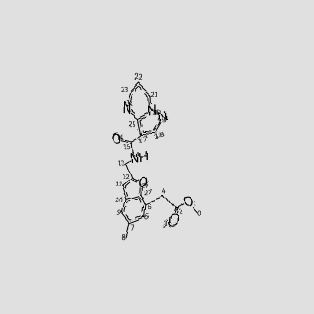 COC(=O)Cc1cc(C)cc2cc(CNC(=O)c3cnn4cccnc34)oc12